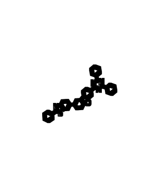 c1ccc(-c2nc(-c3ccccc3)nc(-c3ccc4c(c3)oc3ccc(-c5ccc6nc(-c7ccccc7)sc6c5)cc34)n2)cc1